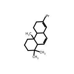 CC(C)C1=CC2C=CC3C(C)(C)CCCC3(C)C2CC1